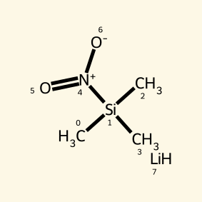 C[Si](C)(C)[N+](=O)[O-].[LiH]